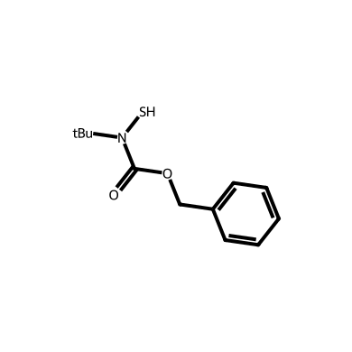 CC(C)(C)N(S)C(=O)OCc1ccccc1